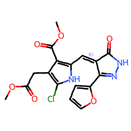 COC(=O)Cc1c(Cl)[nH]c(/C=C2/C(=O)NN=C2c2ccco2)c1C(=O)OC